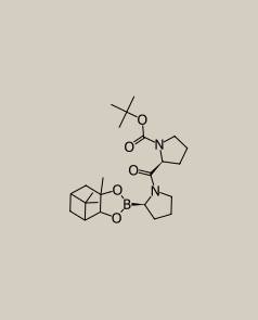 CC(C)(C)OC(=O)N1CCC[C@H]1C(=O)N1CCC[C@H]1B1OC2C3CC(CC2(C)O1)C3(C)C